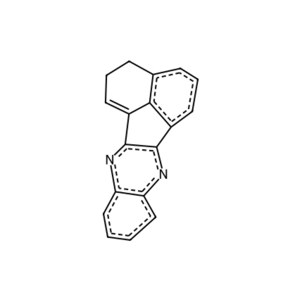 C1=C2c3nc4ccccc4nc3-c3cccc(c32)CC1